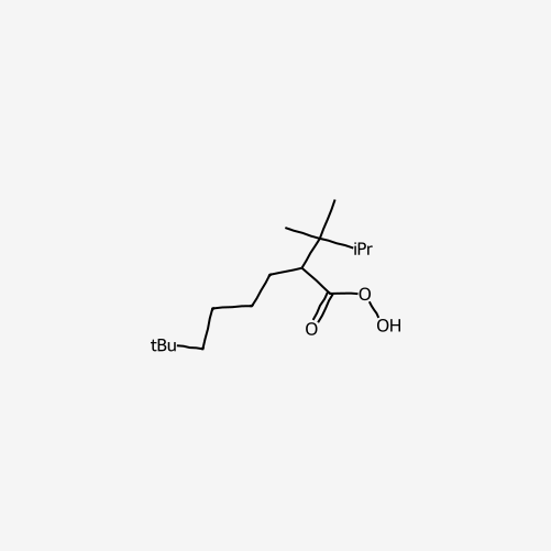 CC(C)C(C)(C)C(CCCCC(C)(C)C)C(=O)OO